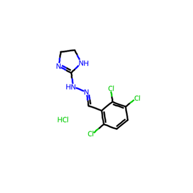 Cl.Clc1ccc(Cl)c(C=NNC2=NCCN2)c1Cl